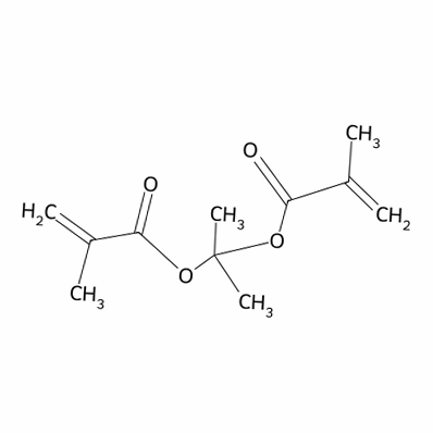 C=C(C)C(=O)OC(C)(C)OC(=O)C(=C)C